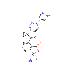 Cn1cc(-c2ccc(C3(C(=O)c4nccc5c4C(=O)O[C@]54CCNC4)CC3)cn2)cn1